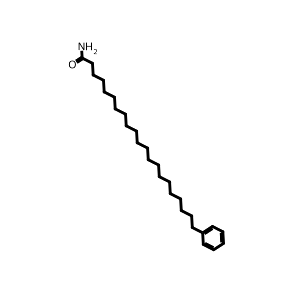 NC(=O)CCCCCCCCCCCCCCCCCCCCc1ccccc1